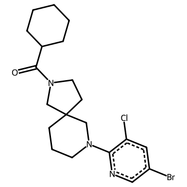 O=C(C1CCCCC1)N1CCC2(CCCN(c3ncc(Br)cc3Cl)C2)C1